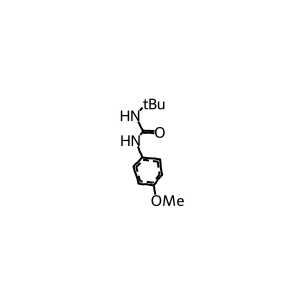 COc1ccc(NC(=O)NC(C)(C)C)cc1